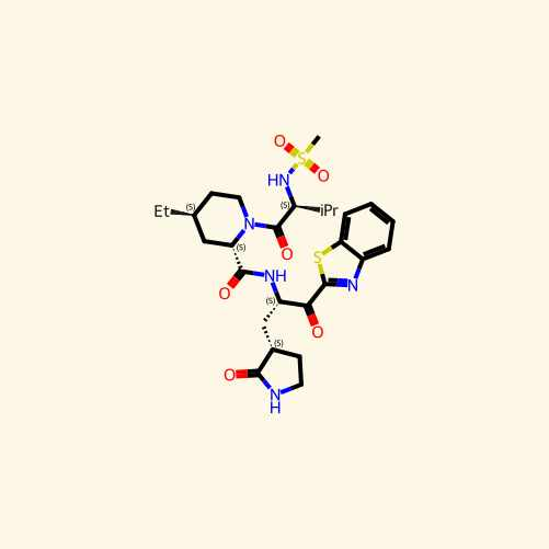 CC[C@H]1CCN(C(=O)[C@@H](NS(C)(=O)=O)C(C)C)[C@H](C(=O)N[C@@H](C[C@@H]2CCNC2=O)C(=O)c2nc3ccccc3s2)C1